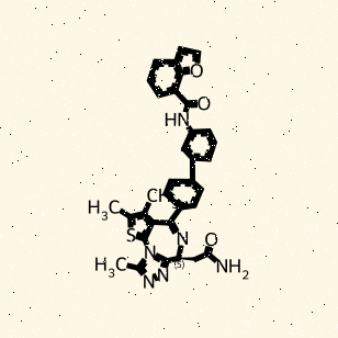 Cc1sc2c(c1C)C(c1ccc(-c3cccc(NC(=O)c4cccc5ccoc45)c3)cc1)=N[C@@H](CC(N)=O)c1nnc(C)n1-2